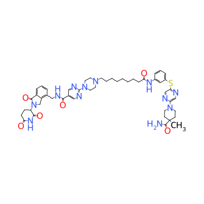 CC1(C(N)=O)CCN(c2cnc(Sc3cccc(NC(=O)CCCCCCCCN4CCN(c5ncc(C(=O)NCc6cccc7c6CN(C6CCC(=O)NC6=O)C7=O)cn5)CC4)c3)cn2)CC1